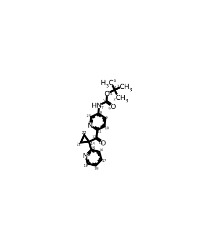 CC(C)(C)OC(=O)Nc1ccc(C(=O)C2(c3ccccn3)CC2)nc1